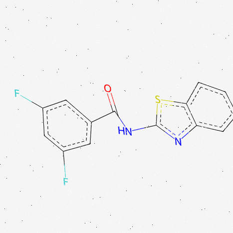 O=C(Nc1nc2ccccc2s1)c1cc(F)cc(F)c1